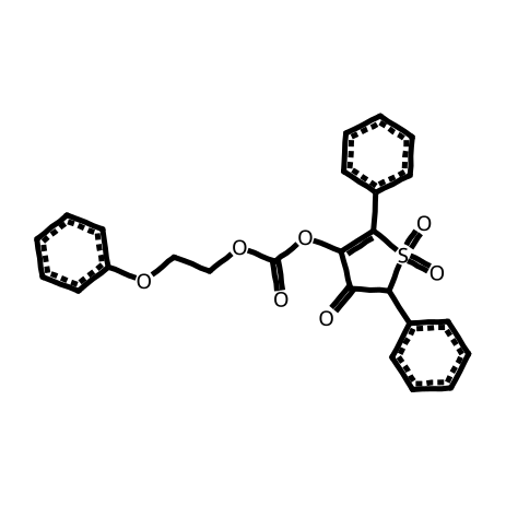 O=C(OCCOc1ccccc1)OC1=C(c2ccccc2)S(=O)(=O)C(c2ccccc2)C1=O